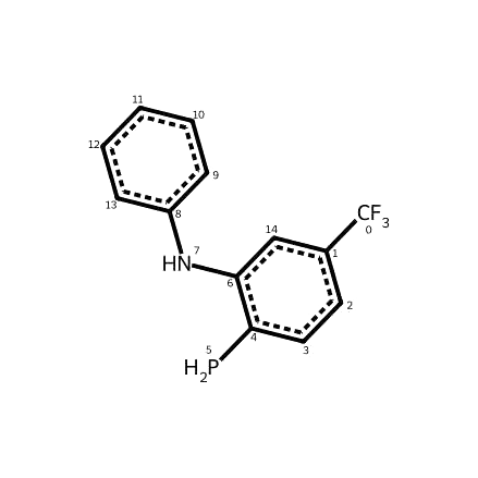 FC(F)(F)c1ccc(P)c(Nc2ccccc2)c1